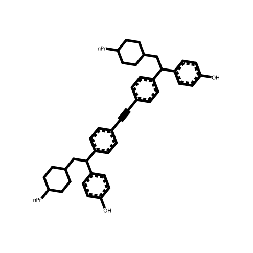 CCCC1CCC(CC(c2ccc(O)cc2)c2ccc(C#Cc3ccc(C(CC4CCC(CCC)CC4)c4ccc(O)cc4)cc3)cc2)CC1